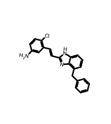 Nc1ccc(Cl)c(/C=C/c2nc3c(Cc4ccccc4)cccc3[nH]2)c1